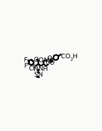 COC(=O)C1=C(C2CCN(S(=O)(=O)C3CCC(CC(=O)O)CC3)CC2)NC(c2nccs2)=N[C@@H]1c1ccc(F)c(F)c1Cl